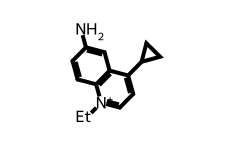 CC[n+]1ccc(C2CC2)c2cc(N)ccc21